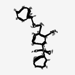 Nc1cc(S(=O)(=O)c2ccccc2)cnc1COCc1ccccc1